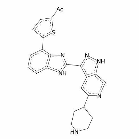 CC(=O)c1ccc(-c2cccc3[nH]c(-c4n[nH]c5cnc(C6CCNCC6)cc45)nc23)s1